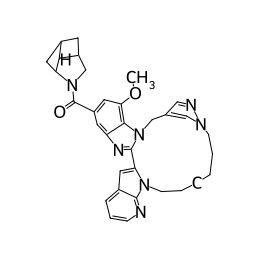 COc1cc(C(=O)N2CC3CC4CC2[C@H]43)cc2nc3n(c12)Cc1cnn(c1)CCCCCCn1c-3cc2cccnc21